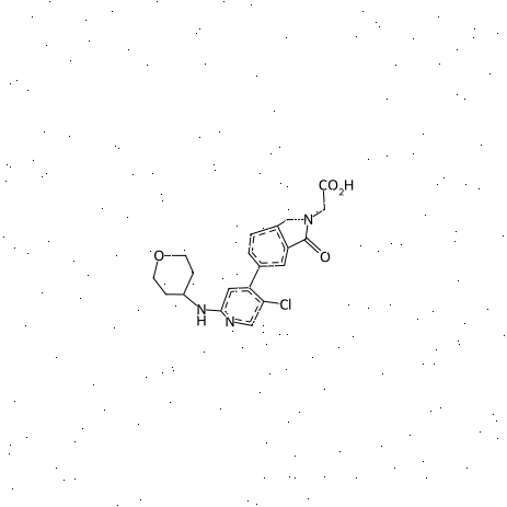 O=C(O)CN1Cc2ccc(-c3cc(NC4CCOCC4)ncc3Cl)cc2C1=O